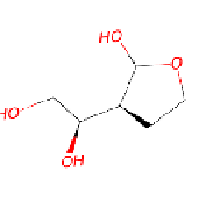 OC[C@H](O)[C@@H]1CCOC1O